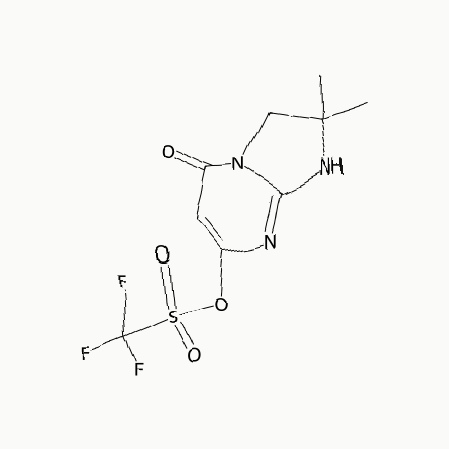 CC1(C)Cn2c(nc(OS(=O)(=O)C(F)(F)F)cc2=O)N1